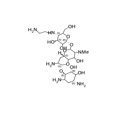 CNC1C(O[C@H]2OC(CO)[C@@H](NCCCN)[C@H](O)C2O)O[C@H]2CC(N)[C@@H](O[C@@H]3C(N)C[C@@H](N)C(O)[C@H]3O)OC2C1O